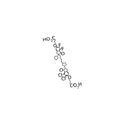 O=C(O)CCCOc1cc2c(c(F)c1F)C(=O)C(CCCCC1CCC(C3Cc4cc(OCCCC(=O)O)c(Cl)c(Cl)c4C3=O)C1)(C1CCCC1)C2